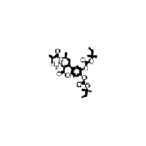 CCC(C)(C)OC(=O)Oc1ccc(C(CC(C)OC(=O)C(C)C)[C@H](N)C(=O)O)cc1OC(=O)OC(C)(C)CC